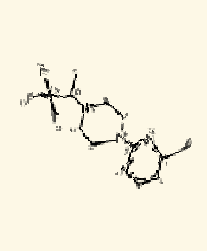 Cc1ccnc(N2CCN(C(C)C(F)(F)F)CC2)n1